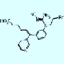 CC(C)CCN(C(N)=NC#N)c1cccc(C(=CCCCC(=O)O)c2cccnc2)c1